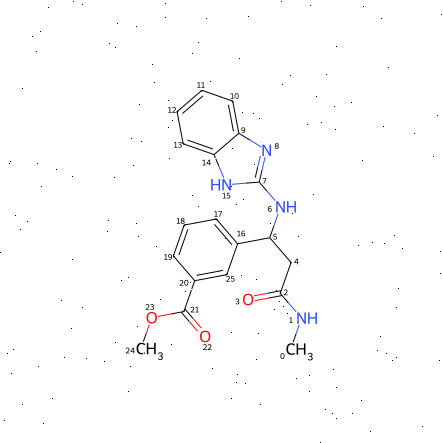 CNC(=O)CC(Nc1nc2ccccc2[nH]1)c1cccc(C(=O)OC)c1